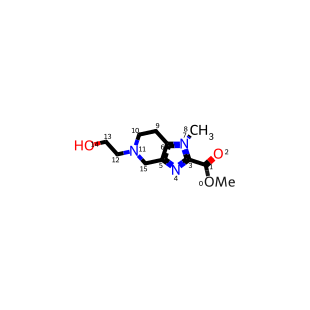 COC(=O)c1nc2c(n1C)CCN(CCO)C2